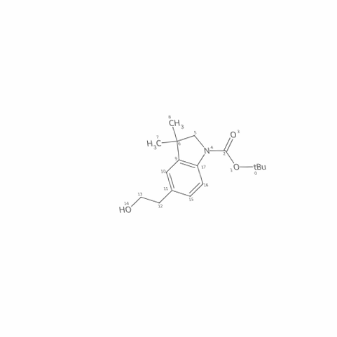 CC(C)(C)OC(=O)N1CC(C)(C)c2cc(CCO)ccc21